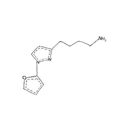 NCCCCc1ccn(-c2ccco2)n1